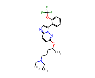 CCN(CC)CCCC(C)Oc1ccc2ncc(-c3ccccc3OC(F)(F)F)n2n1